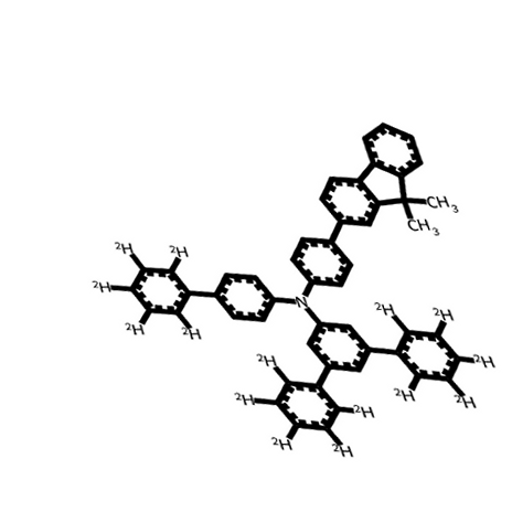 [2H]c1c([2H])c([2H])c(-c2ccc(N(c3ccc(-c4ccc5c(c4)C(C)(C)c4ccccc4-5)cc3)c3cc(-c4c([2H])c([2H])c([2H])c([2H])c4[2H])cc(-c4c([2H])c([2H])c([2H])c([2H])c4[2H])c3)cc2)c([2H])c1[2H]